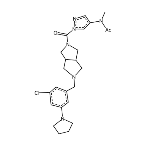 CC(=O)N(C)c1cnn(C(=O)N2CC3CN(Cc4cc(Cl)cc(N5CCCC5)c4)CC3C2)c1